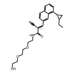 CCC1CN1c1cccc2ccc(/C=C(\C#N)C(=O)NCCOCCOCCO)cc12